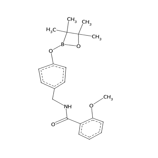 COc1ccccc1C(=O)NCc1ccc(OB2OC(C)(C)C2(C)C)cc1